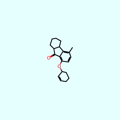 Cc1ccc(OC2C=CCCC2)c2c1C1CCCCC1C2=O